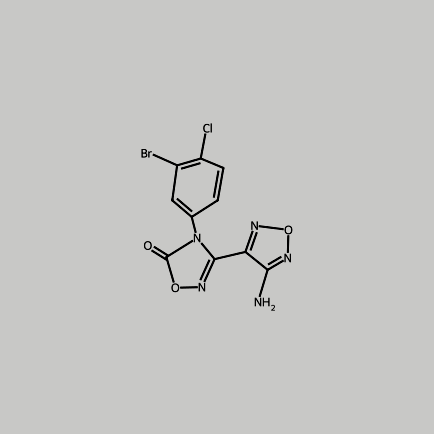 Nc1nonc1-c1noc(=O)n1-c1ccc(Cl)c(Br)c1